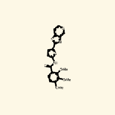 COc1ccc(C(=O)Nc2ccc(-c3nc4cnccc4s3)s2)c(OC)c1OC